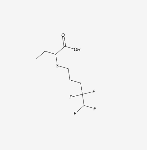 CCC(SCCCC(F)(F)C(F)F)C(=O)O